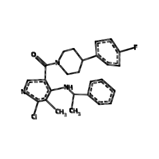 Cc1c(Cl)ncc(C(=O)N2CCC(c3ccc(F)cc3)CC2)c1NC(C)c1ccccc1